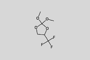 COC1(OC)OCC(C(F)(F)F)O1